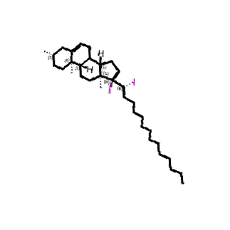 CCCCCCCCCCCCC[C@@H](I)[C@@]1(I)CC[C@H]2C3CC=C4C[C@@H](C)CC[C@]4(C)[C@H]3CC[C@@]21C